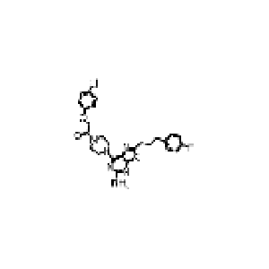 Nc1nc(N2CCN(C(=O)COc3ccc(Cl)cc3)CC2)c2nc(CCCc3ccc(F)cc3)sc2n1